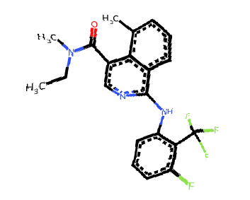 CCN(C)C(=O)c1cnc(Nc2cccc(F)c2C(F)(F)F)c2cccc(C)c12